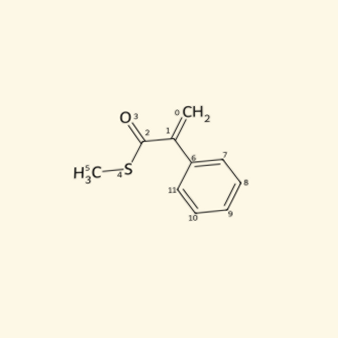 C=C(C(=O)SC)c1ccccc1